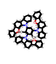 N#Cc1c(-n2c3ccccc3c3ccc4c5ccccc5oc4c32)cc(-n2c3ccccc3c3ccc4c5ccccc5oc4c32)c(C#N)c1-n1c2ccccc2c2ccc3c4ccccc4oc3c21